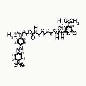 CCN(CCOC(=O)NCCCCCCNC(=O)Nc1nc(=O)cc(C(C)C)[nH]1)c1ccc(/N=N/c2ccc([N+](=O)[O-])cc2)cc1